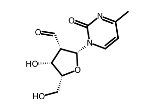 Cc1ccn([C@@H]2O[C@H](CO)[C@H](O)[C@@H]2C=O)c(=O)n1